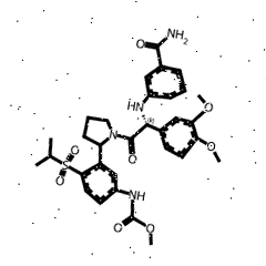 COC(=O)Nc1ccc(S(=O)(=O)C(C)C)c(C2CCCN2C(=O)[C@H](Nc2cccc(C(N)=O)c2)c2ccc(OC)c(OC)c2)c1